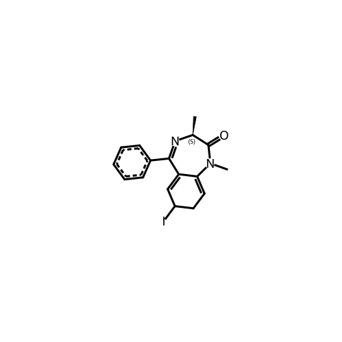 C[C@@H]1N=C(c2ccccc2)C2=CC(I)CC=C2N(C)C1=O